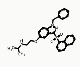 CC(C)NCCOc1ccc2c(c1)c(S(=O)(=O)c1cccc3ccccc13)nn2Cc1ccccc1